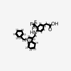 O=C(O)Cc1ccc(NCc2cn(Cc3ccccc3)c3ccccc23)c(C(F)(F)F)c1